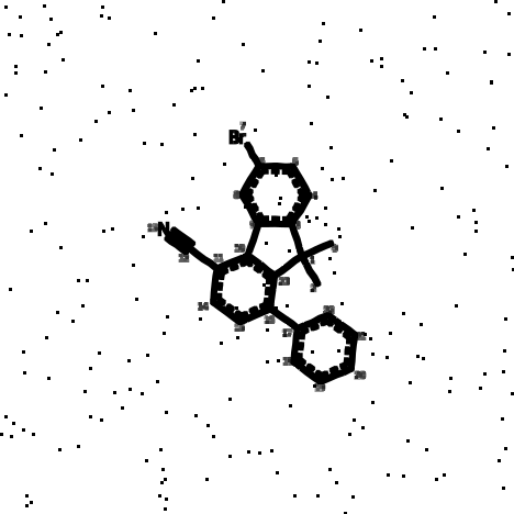 CC1(C)c2ccc(Br)cc2-c2c(C#N)ccc(-c3ccccc3)c21